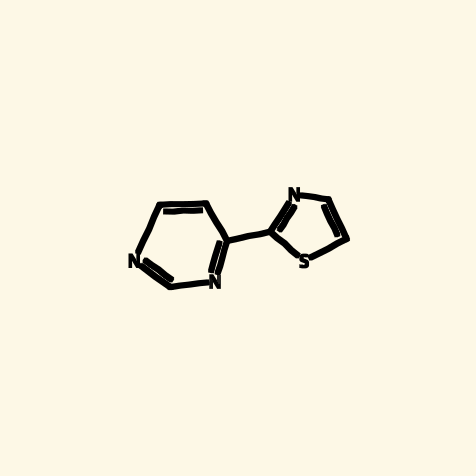 c1cc(-c2nccs2)ncn1